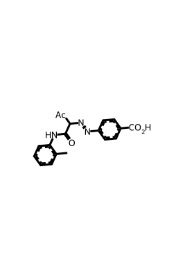 CC(=O)C(/N=N/c1ccc(C(=O)O)cc1)C(=O)Nc1ccccc1C